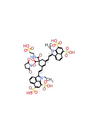 CCn1/c(=C/C=C2C=C(/C=C/C3=[N+](CC)c4c(S(=O)(=O)O)cc(S(=O)(=O)O)c5cccc3c45)CC(C(=O)NCCS(=O)(=O)O)(C(=O)ON3C(=O)CCC3=O)C/2)c2cccc3c(S(=O)(=O)O)cc(S(=O)(=O)O)c1c32